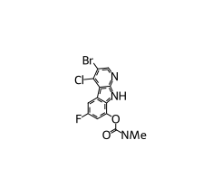 CNC(=O)Oc1cc(F)cc2c1[nH]c1ncc(Br)c(Cl)c12